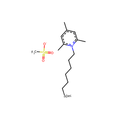 CCCCCCCCCCCCCCCC[n+]1c(C)cc(C)cc1C.O=S(=O)([O-])C(F)(F)F